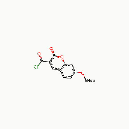 CCCCCCOc1ccc2cc(C(=O)Cl)c(=O)oc2c1